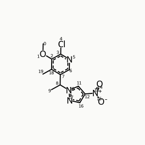 COc1c(Cl)ncc(C(C)n2cc([N+](=O)[O-])cn2)c1C